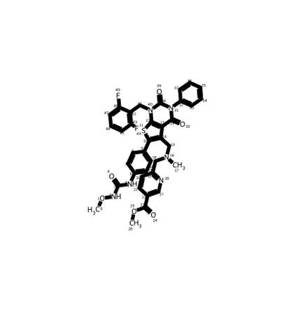 CONC(=O)Nc1ccc(-c2sc3c(c2CN(C)Cc2ccc(C(=O)OC)cn2)c(=O)n(-c2ccccc2)c(=O)n3Cc2c(F)cccc2F)cc1